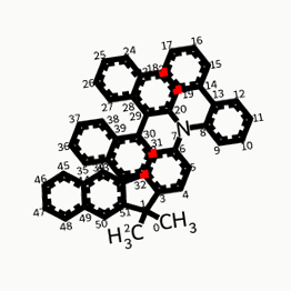 CC1(C)c2ccc(N(c3ccccc3-c3ccccc3)c3ccc4ccccc4c3-c3cccc4ccccc34)cc2-c2cc3ccccc3cc21